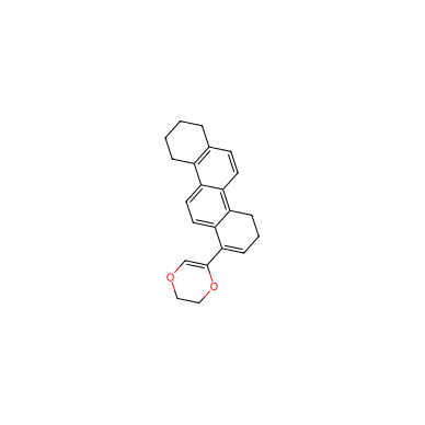 C1=C(C2=CCCc3c2ccc2c4c(ccc32)CCCC4)OCCO1